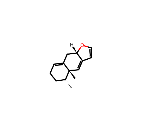 C[C@@H]1CCC=C2C[C@@H]3OC=CC3=C[C@@]21C